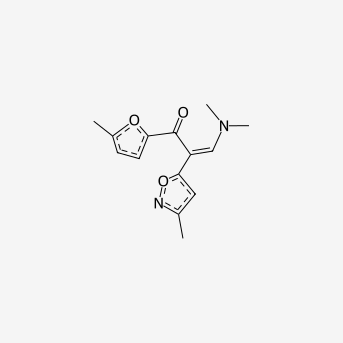 Cc1cc(C(=CN(C)C)C(=O)c2ccc(C)o2)on1